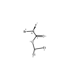 CCC(CC)OC(=O)[C@H](F)Br